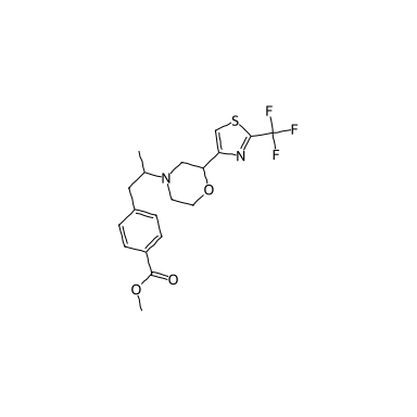 COC(=O)c1ccc(CC(C)N2CCOC(c3csc(C(F)(F)F)n3)C2)cc1